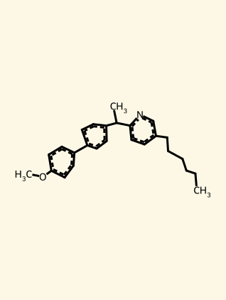 CCCCCCc1ccc(C(C)c2ccc(-c3ccc(OC)cc3)cc2)nc1